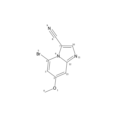 COc1cc(Br)n2c(C#N)cnc2c1